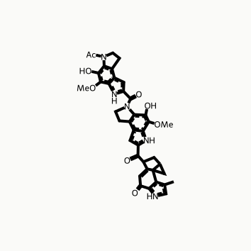 COc1c(O)c2c(c3cc(C(=O)N4CCc5c4c(O)c(OC)c4[nH]c(C(=O)C6CC7CC78C6=CC(=O)c6[nH]cc(C)c68)cc54)[nH]c13)CCN2C(C)=O